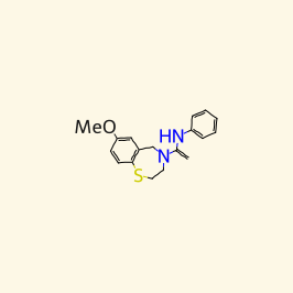 C=C(Nc1ccccc1)N1CCSc2ccc(OC)cc2C1